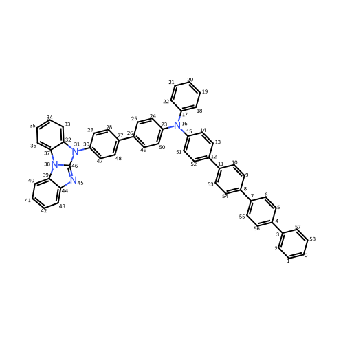 c1ccc(-c2ccc(-c3ccc(-c4ccc(N(c5ccccc5)c5ccc(-c6ccc(-n7c8ccccc8n8c9ccccc9nc78)cc6)cc5)cc4)cc3)cc2)cc1